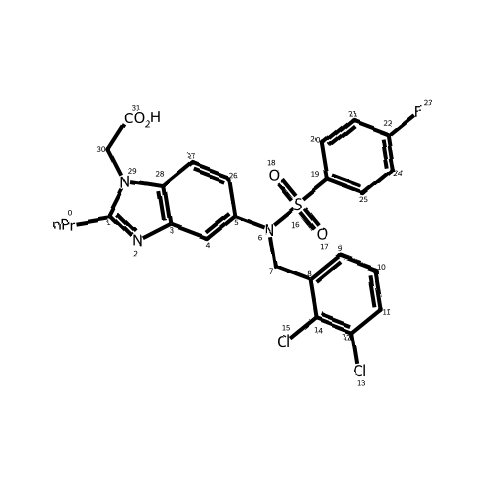 CCCc1nc2cc(N(Cc3cccc(Cl)c3Cl)S(=O)(=O)c3ccc(F)cc3)ccc2n1CC(=O)O